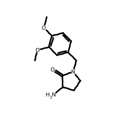 COc1ccc(CN2CCC(N)C2=O)cc1OC